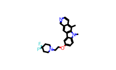 Cc1c2ccncc2cc2c3cc(OCCN4CCC(F)(F)CC4)ccc3n(C)c12